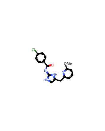 COc1cccc(Cc2c[nH]c(=NC(=O)c3ccc(Cl)cc3)[nH]2)n1